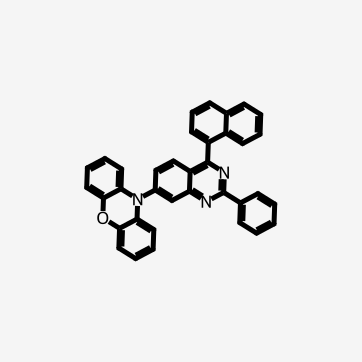 c1ccc(-c2nc(-c3cccc4ccccc34)c3ccc(N4c5ccccc5Oc5ccccc54)cc3n2)cc1